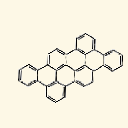 c1ccc2c(c1)c1cccc3c4ccc5c6ccccc6c6cccc7c8ccc2c(c13)c8c4c5c67